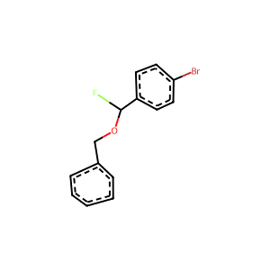 FC(OCc1ccccc1)c1ccc(Br)cc1